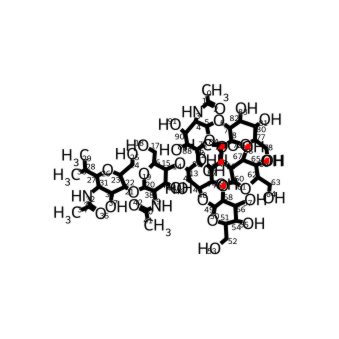 CC(=O)NC1C(OC2C(OCC3OC(OC4C(CO)OC(OC5C(CO)OC(C(C)C)C(NC(C)=O)C5O)C(NC(C)=O)C4O)C(O)C(OC4OC(CO)C(O)C(O)C4OC4OC(CO)C(O)C(O)C4NC(C)=O)C3O)OC(CO)C(O)C2O)OC(CO)C(O)C1O